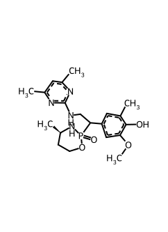 COc1cc(C(CNc2nc(C)cc(C)n2)P2(=O)N[C@H](C)CCO2)cc(C)c1O